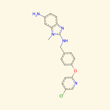 Cn1c(NCc2ccc(Oc3ccc(Cl)cn3)cc2)nc2ccc(N)cc21